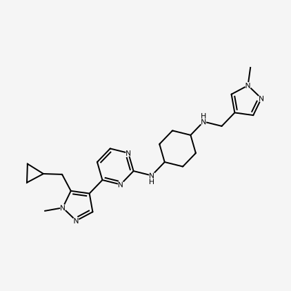 Cn1cc(CNC2CCC(Nc3nccc(-c4cnn(C)c4CC4CC4)n3)CC2)cn1